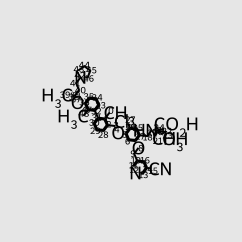 Cc1c(COc2cc(OCc3cncc(C#N)c3)c(CN[C@@](C)(CO)C(=O)O)cc2Cl)cccc1-c1cccc(O[C@H](C)CCN2CCCC2)c1C